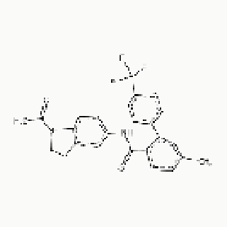 CC(=O)N1CCc2cc(NC(=O)c3ccc(C)cc3-c3ccc(C(F)(F)F)cc3)ccc21